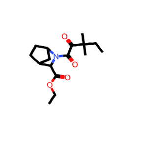 CCOC(=O)C1C2CCC(C2)N1C(=O)C(=O)C(C)(C)CC